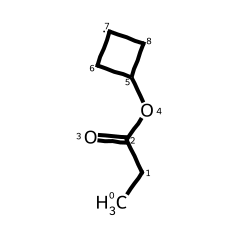 CCC(=O)OC1C[CH]C1